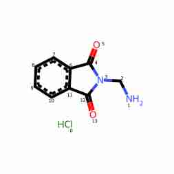 Cl.NCN1C(=O)c2ccccc2C1=O